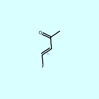 CC(=O)/C=C/F